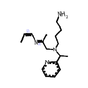 C/C=C\N=C(/C)CN(CCCCN)C(C)c1ccccn1